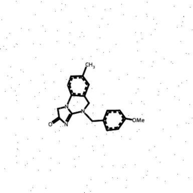 COc1ccc(CN2Cc3cc(C)ccc3N3CC(=O)N=C23)cc1